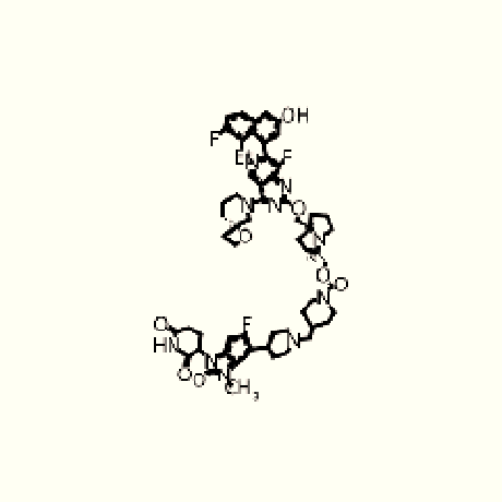 CCc1c(F)ccc2cc(O)cc(-c3ncc4c(N5CCC[C@]6(CCO6)C5)nc(OC[C@@]56CCCN5[C@H](COC(=O)N5CCC(CN7CCC(c8cc9c(cc8F)n(C8CCC(=O)NC8=O)c(=O)n9C)CC7)CC5)CC6)nc4c3F)c12